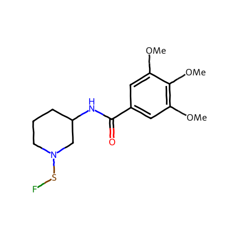 COc1cc(C(=O)NC2CCCN(SF)C2)cc(OC)c1OC